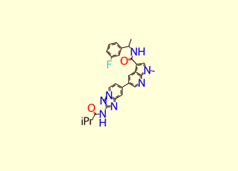 CC(C)C(=O)Nc1nc2cc(-c3cnc4c(c3)c(C(=O)NC(C)c3cccc(F)c3)cn4C)ccn2n1